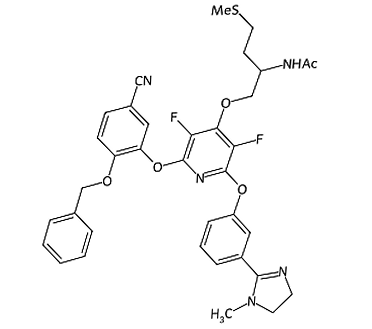 CSCCC(COc1c(F)c(Oc2cccc(C3=NCCN3C)c2)nc(Oc2cc(C#N)ccc2OCc2ccccc2)c1F)NC(C)=O